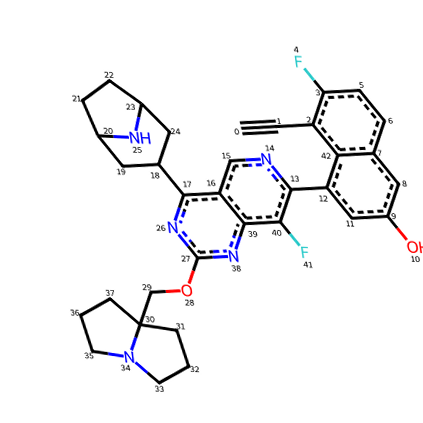 C#Cc1c(F)ccc2cc(O)cc(-c3ncc4c(C5CC6CCC(C5)N6)nc(OCC56CCCN5CCC6)nc4c3F)c12